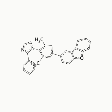 Cc1cc(-c2ccc3oc4ccccc4c3c2)cc(C)c1-n1ccnc1-c1ccccc1